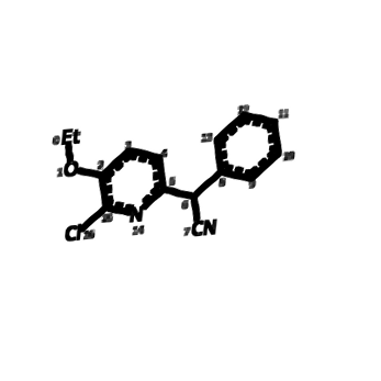 CCOc1ccc(C(C#N)c2ccccc2)nc1Cl